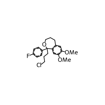 COc1cc2c(cc1OC)C(CCCCl)(c1ccc(F)cc1)OCCC2